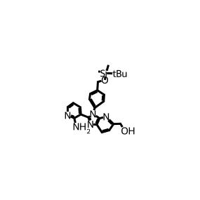 CC(C)(C)[Si](C)(C)OCc1ccc(-n2c(-c3cccnc3N)nc3ccc(CO)nc32)cc1